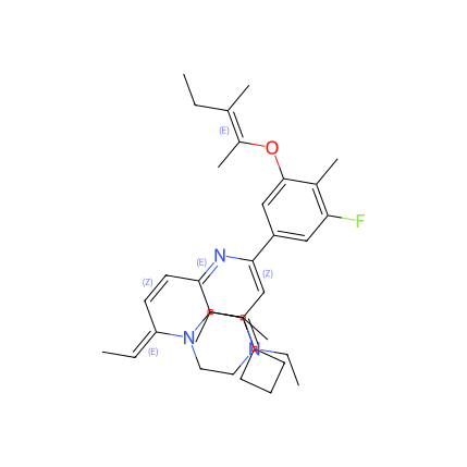 C\C=C(/C=C\C(=N\C(=C/C(C)=C1CCC1)c1cc(F)c(C)c(O/C(C)=C(\C)CC)c1)C(C)CC)N1CCN(CC)CC1